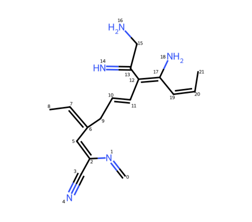 C=N/C(C#N)=C\C(=C/C)C/C=C/C(C(=N)CN)=C(N)\C=C/C